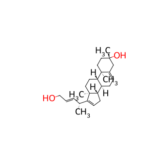 C[C@H](/C=C/CO)C1=CC[C@H]2[C@@H]3CC=C4C[C@@](C)(O)CC[C@]4(C)[C@H]3CC[C@]12C